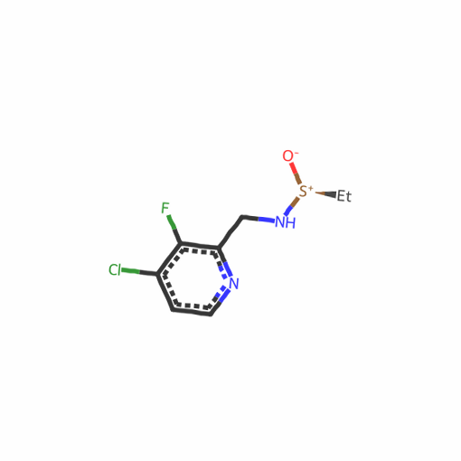 CC[S@+]([O-])NCc1nccc(Cl)c1F